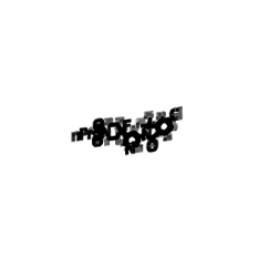 CCCS(=O)(=O)N1CCC(F)(c2cncc(N3C(=O)c4ccc(Cl)cc4C3(C)C)c2)CC1